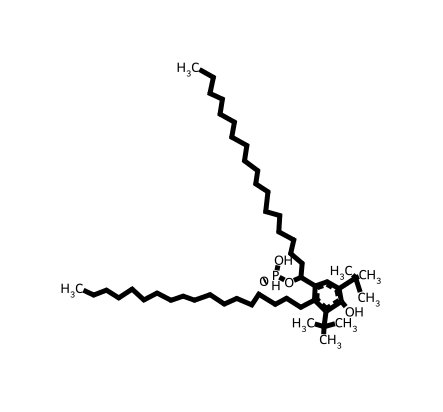 CCCCCCCCCCCCCCCCCCc1c(C(CCCCCCCCCCCCCCCCCC)O[PH](=O)O)cc(C(C)(C)C)c(O)c1C(C)(C)C